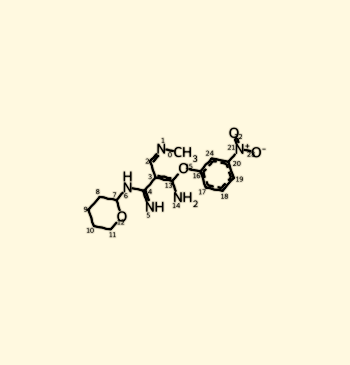 C/N=C\C(C(=N)NC1CCCCO1)=C(\N)Oc1cccc([N+](=O)[O-])c1